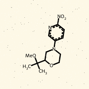 COC(C)(C)C1CN(c2ccc([N+](=O)[O-])nc2)CCO1